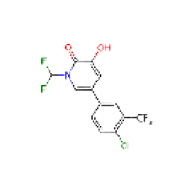 O=c1c(O)cc(-c2ccc(Cl)c(C(F)(F)F)c2)cn1C(F)F